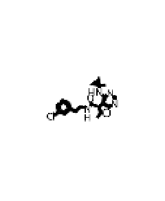 Cc1oc2ncnc(NC3(C)CC3)c2c1C(=O)NCCc1cccc(Cl)c1